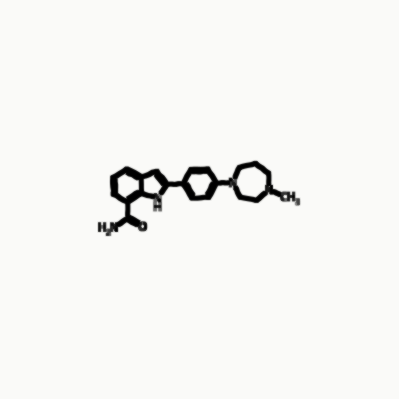 CN1CCCN(c2ccc(-c3cc4cccc(C(N)=O)c4[nH]3)cc2)CC1